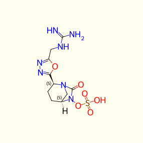 N=C(N)NCc1nnc([C@@H]2CC[C@H]3CN2C(=O)N3OS(=O)(=O)O)o1